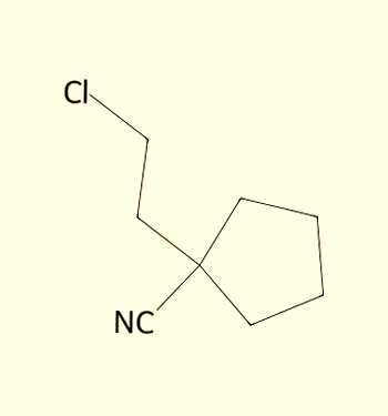 N#CC1(CCCl)CCCC1